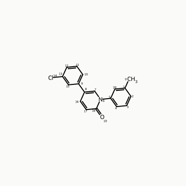 Cc1cccc(-n2cc(-c3cccc(Cl)c3)ccc2=O)c1